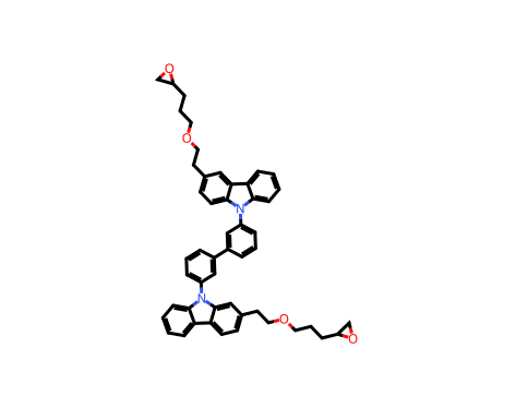 c1cc(-c2cccc(-n3c4ccccc4c4ccc(CCOCCCC5CO5)cc43)c2)cc(-n2c3ccccc3c3cc(CCOCCCC4CO4)ccc32)c1